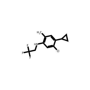 Cc1cc(C2CC2)c(Cl)cc1NCC(F)(F)F